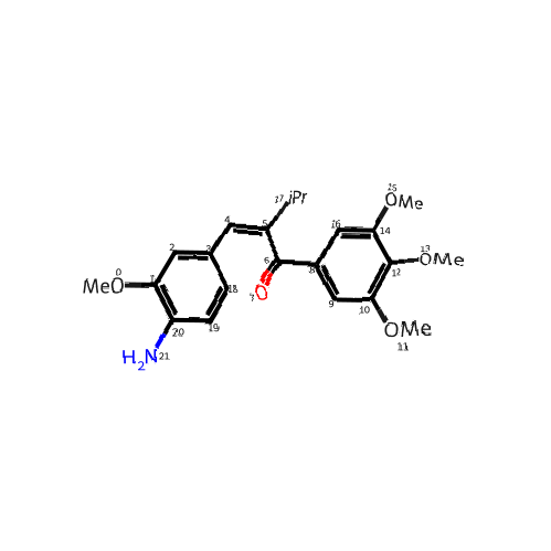 COc1cc(C=C(C(=O)c2cc(OC)c(OC)c(OC)c2)C(C)C)ccc1N